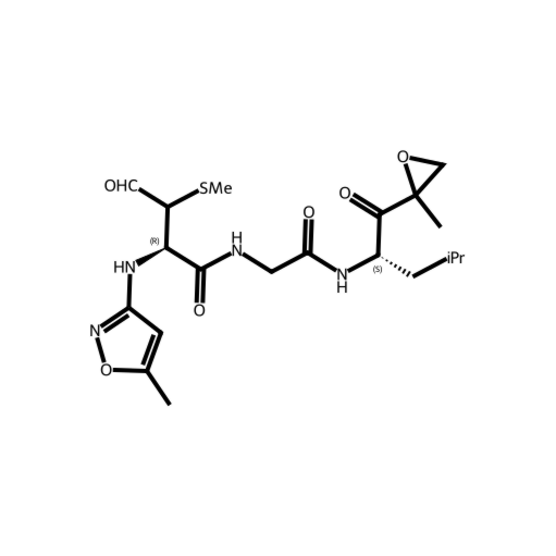 CSC(C=O)[C@H](Nc1cc(C)on1)C(=O)NCC(=O)N[C@@H](CC(C)C)C(=O)C1(C)CO1